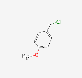 COc1ccc([CH]Cl)cc1